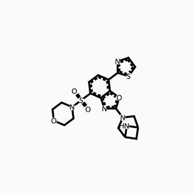 O=S(=O)(c1ccc(-c2nccs2)c2oc(N3CC4CC(C3)N4)nc12)N1CCOCC1